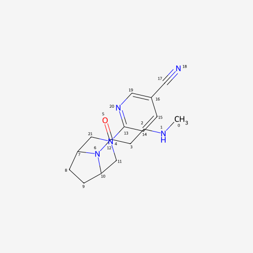 CNCCC(=O)N1C2CCC1CN(c1ccc(C#N)cn1)C2